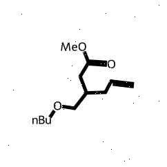 C=CCC(COCCCC)CC(=O)OC